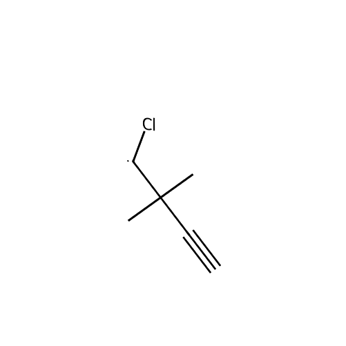 C#CC(C)(C)[CH]Cl